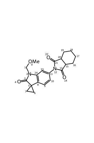 COCN1C(=O)C2(CC2)c2ccc(N3C(=O)C4CCCCC4C3=O)cc21